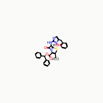 CC(=O)OCC1=C(C(=O)OC(c2ccccc2)c2ccccc2)N2C(=O)C(Nc3ncc(Cc4ccccc4)n3O)[C@@H]2SC1